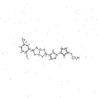 O=C(O)Cn1nnc(-c2cnc(N3CC4CN(c5cc(C(F)(F)F)ccc5F)CC4C3)s2)n1